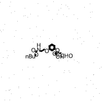 CCCCOC(=O)NCCOc1cccc(OP(=O)(O)CC=O)c1